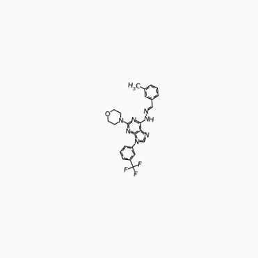 Cc1cccc(C=NNc2nc(N3CCOCC3)nc3c2ncn3-c2cccc(C(F)(F)F)c2)c1